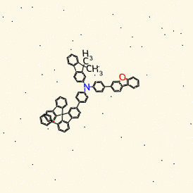 CC1(C)c2ccccc2-c2ccc(N(c3ccc(-c4ccc5c(c4)C4(c6ccccc6-c6ccccc64)c4c(-c6ccccc6)cccc4-5)cc3)c3ccc(-c4ccc5c(c4)oc4ccccc45)cc3)cc21